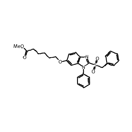 COC(=O)CCCCCOc1ccc2nc(S(=O)(=O)Cc3ccccc3)n(-c3ccccc3)c2c1